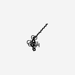 CCCCCCCCCCCCCCOC(=O)c1cc(Cl)c(-n2[nH]c(N3CCCC3)cc2=O)c(Cl)c1